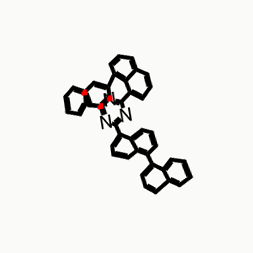 c1ccc(-c2nc(-c3cccc4c(-c5cccc6ccccc56)cccc34)nc(-c3cccc4cccc(-c5ccccc5)c34)n2)cc1